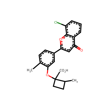 Cc1ccc(-c2cc(=O)c3cccc(Cl)c3o2)cc1OC1(C(=O)O)CCC1C